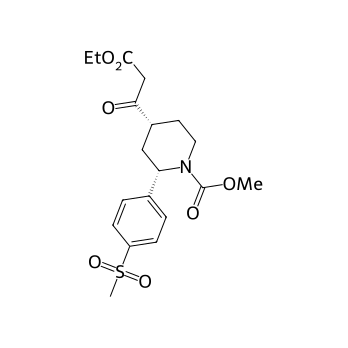 CCOC(=O)CC(=O)[C@@H]1CCN(C(=O)OC)[C@H](c2ccc(S(C)(=O)=O)cc2)C1